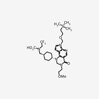 COCCN1CN([C@H]2CC[C@H](CN(CC(F)(F)F)C(=O)O)CC2)c2c(cnc3c2ccn3COCC[Si](C)(C)C)C1=O